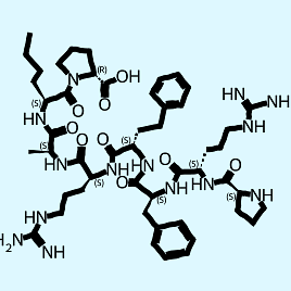 CCCC[C@H](NC(=O)[C@H](C)NC(=O)[C@H](CCCNC(=N)N)NC(=O)[C@H](CCc1ccccc1)NC(=O)[C@H](Cc1ccccc1)NC(=O)[C@H](CCCNC(=N)N)NC(=O)[C@@H]1CCCN1)C(=O)N1CCC[C@@H]1C(=O)O